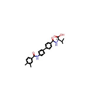 Cc1ccc(C(=O)Nc2ccc(-c3ccc(C(=O)N[C@@H](C(=O)O)C(C)C)cc3)cc2)cc1C